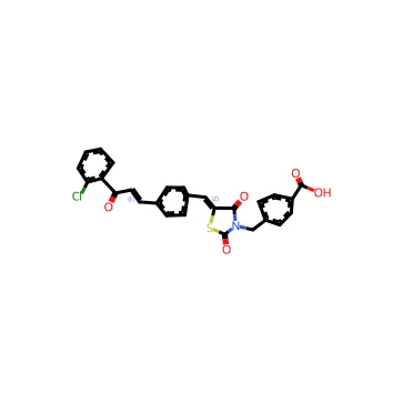 O=C(O)c1ccc(CN2C(=O)S/C(=C\c3ccc(/C=C/C(=O)c4ccccc4Cl)cc3)C2=O)cc1